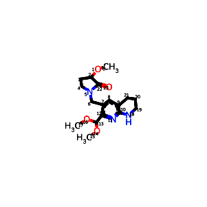 COC1CCN(Cc2cc3c(nc2C(OC)OC)NCCC3)C1=O